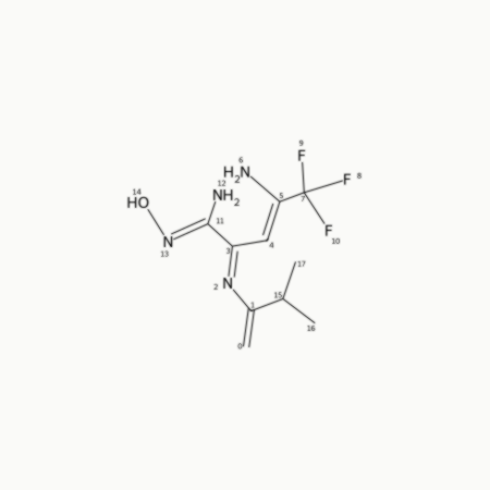 C=C(/N=C(\C=C(/N)C(F)(F)F)C(/N)=N/O)C(C)C